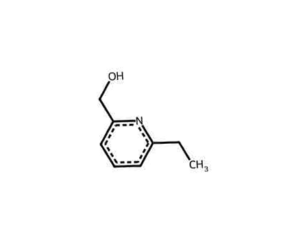 CCc1cccc(CO)n1